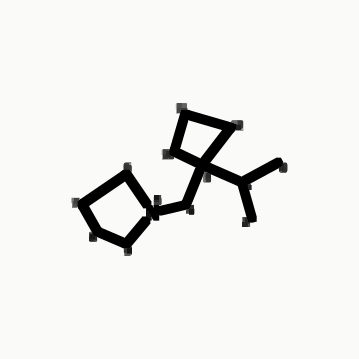 CC(C)C1(CN2CCCC2)CCC1